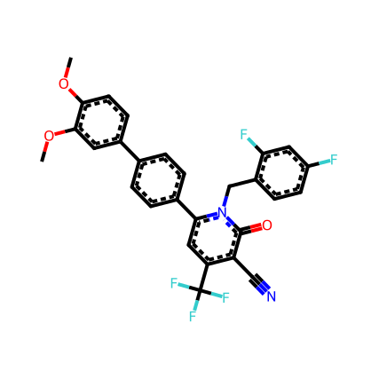 COc1ccc(-c2ccc(-c3cc(C(F)(F)F)c(C#N)c(=O)n3Cc3ccc(F)cc3F)cc2)cc1OC